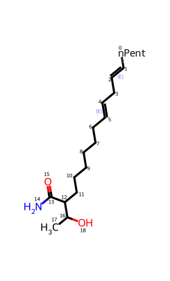 CCCCC/C=C/C/C=C/CCCCCCC(C(N)=O)C(C)O